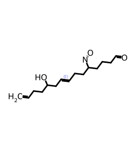 C=CCCC(O)C/C=C/CCC(CCCC=O)N=O